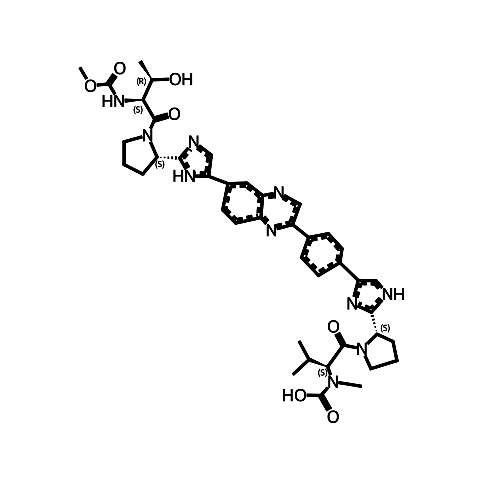 COC(=O)N[C@H](C(=O)N1CCC[C@H]1c1ncc(-c2ccc3nc(-c4ccc(-c5c[nH]c([C@@H]6CCCN6C(=O)[C@H](C(C)C)N(C)C(=O)O)n5)cc4)cnc3c2)[nH]1)[C@@H](C)O